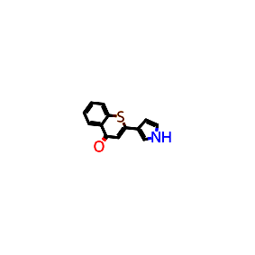 O=c1cc(-c2cc[nH]c2)sc2ccccc12